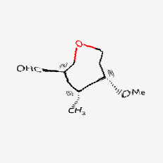 CO[C@H]1CO[C@H](C=O)[C@H]1C